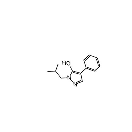 CC(C)Cn1ncc(-c2ccccc2)c1O